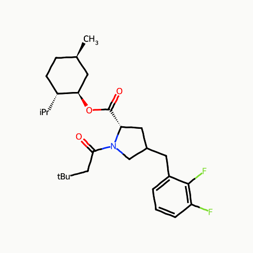 CC(C)[C@@H]1CC[C@@H](C)C[C@H]1OC(=O)[C@@H]1CC(Cc2cccc(F)c2F)CN1C(=O)CC(C)(C)C